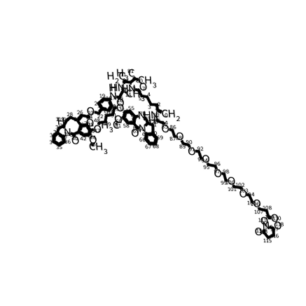 C=C(CCCCC(=O)N[C@H](C(=C)N[C@@H](C)C(=O)Nc1ccc(COC(=O)/C=C2/CC[C@@H]3Cc4ccccc4N3C(=O)c3cc(OC)c(OCCCCCOc4cc5c(cc4OC)C(=O)N4c6ccccc6C[C@H]4C=N5)cc32)cc1)C(C)C)NCCOCCOCCOCCOCCOCCOCCOCCOCCC(=O)ON1C(=O)CCC1=O